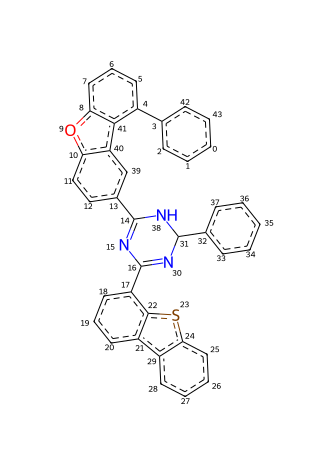 c1ccc(-c2cccc3oc4ccc(C5=NC(c6cccc7c6sc6ccccc67)=NC(c6ccccc6)N5)cc4c23)cc1